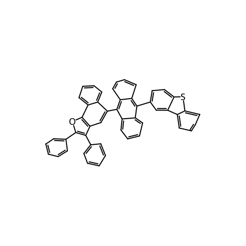 c1ccc(-c2oc3c(cc(-c4c5ccccc5c(-c5ccc6sc7ccccc7c6c5)c5ccccc45)c4ccccc43)c2-c2ccccc2)cc1